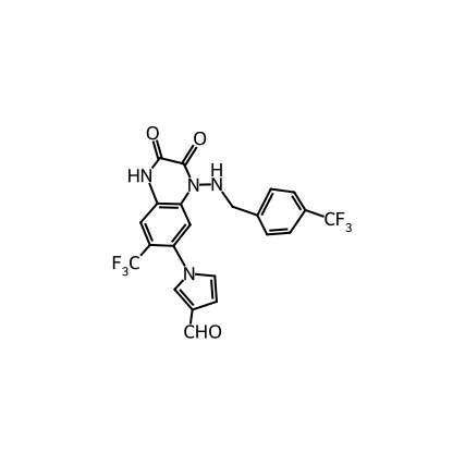 O=Cc1ccn(-c2cc3c(cc2C(F)(F)F)[nH]c(=O)c(=O)n3NCc2ccc(C(F)(F)F)cc2)c1